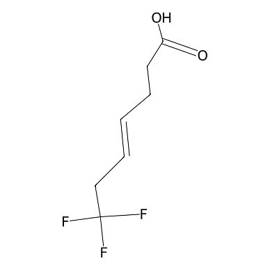 O=C(O)CCC=CCC(F)(F)F